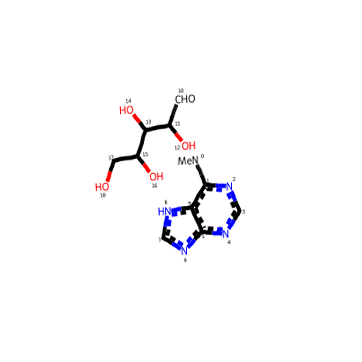 CNc1ncnc2nc[nH]c12.O=CC(O)C(O)C(O)CO